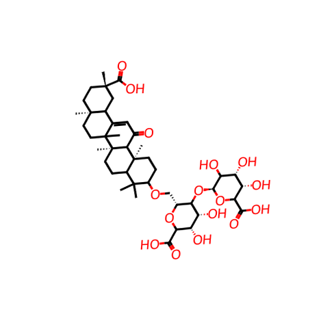 CC1(C)C(OC[C@H]2OC(C(=O)O)[C@@H](O)[C@@H](O)C2O[C@@H]2OC(C(=O)O)[C@@H](O)[C@@H](O)C2O)CC[C@@]2(C)C1CC[C@]1(C)C2C(=O)C=C2C3C[C@@](C)(C(=O)O)CC[C@]3(C)CCC21C